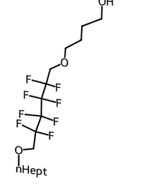 CCCCCCCOCC(F)(F)C(F)(F)C(F)(F)C(F)(F)COCCCCO